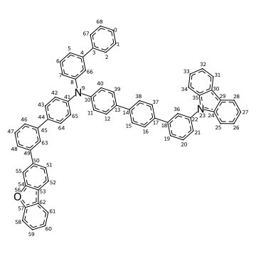 c1ccc(-c2cccc(N(c3ccc(-c4ccc(-c5cccc(-n6c7ccccc7c7ccccc76)c5)cc4)cc3)c3ccc(-c4cccc(-c5ccc6c(c5)oc5ccccc56)c4)cc3)c2)cc1